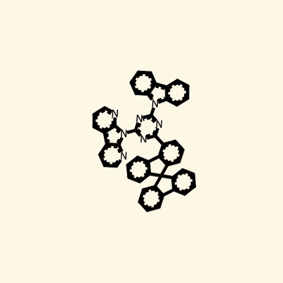 c1ccc2c(c1)-c1ccccc1C21c2ccccc2-c2c(-c3nc(-n4c5ccccc5c5ccccc54)nc(-n4c5ncccc5c5cccnc54)n3)cccc21